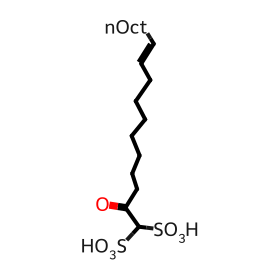 CCCCCCCCC=CCCCCCCCC(=O)C(S(=O)(=O)O)S(=O)(=O)O